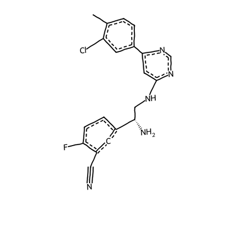 Cc1ccc(-c2cc(NC[C@H](N)c3ccc(F)c(C#N)c3)ncn2)cc1Cl